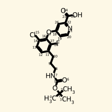 CC(C)(C)OC(=O)NCCCc1ccc(Cl)c(Oc2ccnc(C(=O)O)c2)c1F